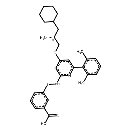 Cc1cccc(C)c1-c1cc(OC[C@H](N)CC2CCCCC2)nc(NSc2cccc(C(=O)O)c2)n1